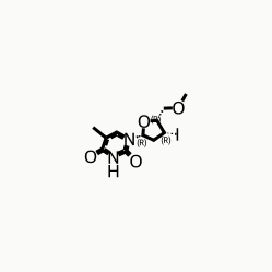 COC[C@H]1O[C@@H](n2cc(C)c(=O)[nH]c2=O)C[C@H]1I